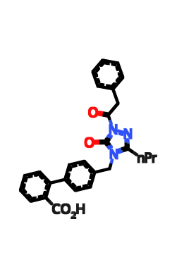 CCCc1nn(C(=O)Cc2ccccc2)c(=O)n1Cc1ccc(-c2ccccc2C(=O)O)cc1